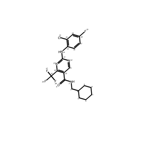 O=C(NCC1CCCCC1)c1cnc(Nc2ccc(F)cc2Cl)nc1C(F)(F)F